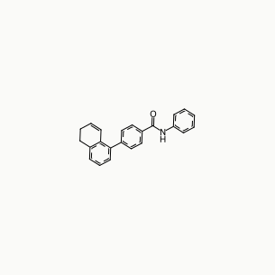 O=C(Nc1ccccc1)c1ccc(-c2cccc3c2C=CCC3)cc1